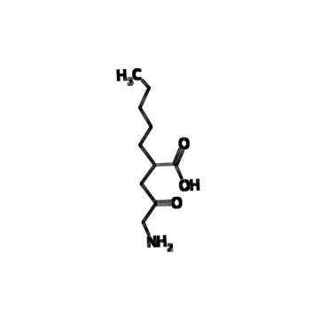 CCCCCC(CC(=O)CN)C(=O)O